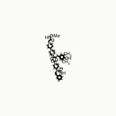 CONC(=O)CN1CCC(N2CCN(C(=O)[C@@H](Cc3cc(C)c(O)c(C)c3)OC(=O)N3CCC(N4CCc5ccccc5NC4=O)CC3)CC2)CC1